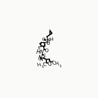 CC1=CC(c2nnc(NC(=O)c3cc(S(=O)(=O)NCC4CC4)ccc3F)s2)C(C)O1